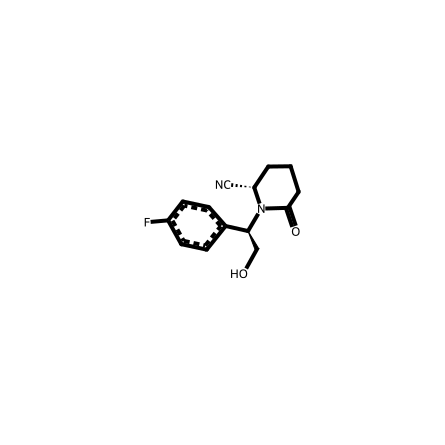 N#C[C@@H]1CCCC(=O)N1[C@@H](CO)c1ccc(F)cc1